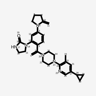 C=C(c1ccc(N2CCCC2=C)cc1N1CCNC1=O)N1CCN(c2ncc(C3CC3)cc2C)CC1